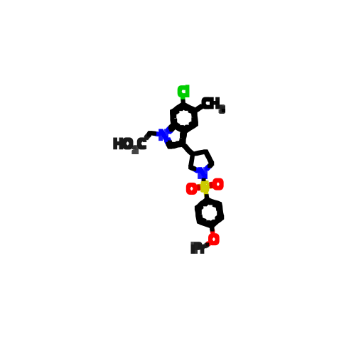 Cc1cc2c(C3CCN(S(=O)(=O)c4ccc(OC(C)C)cc4)C3)cn(CC(=O)O)c2cc1Cl